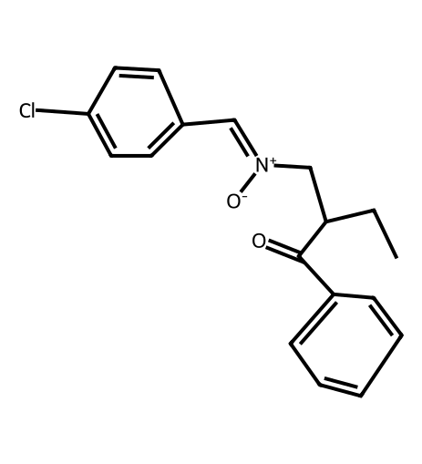 CCC(C[N+]([O-])=Cc1ccc(Cl)cc1)C(=O)c1ccccc1